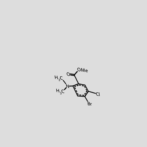 COC(=O)c1cc(Cl)c(Br)cc1N(C)C